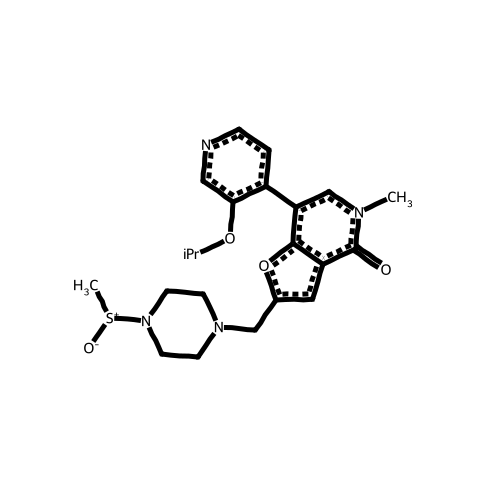 CC(C)Oc1cnccc1-c1cn(C)c(=O)c2cc(CN3CCN([S+](C)[O-])CC3)oc12